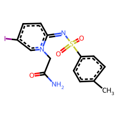 Cc1ccc(S(=O)(=O)N=c2ccc(I)cn2CC(N)=O)cc1